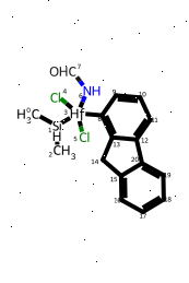 C[SiH](C)[Hf]([Cl])([Cl])([NH]C=O)[c]1cccc2c1Cc1ccccc1-2